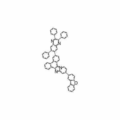 c1ccc(-c2cc3nc(-c4ccccc4)c(-c4ccccc4)nc3cc2-c2ccc3c(c2)c2ccccc2c2nc4cc(-c5ccc6oc7ccccc7c6c5)ccn4c32)cc1